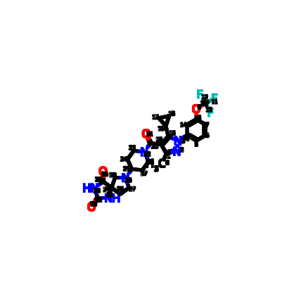 Cc1nn(-c2cccc(OC(F)(F)F)c2)c(C2CC2)c1C(=O)N1CCC(N2CCC3(C2)NC(=O)NC3=O)CC1